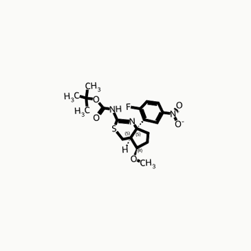 CO[C@@H]1CC[C@]2(c3cc([N+](=O)[O-])ccc3F)N=C(NC(=O)OC(C)(C)C)SC[C@H]12